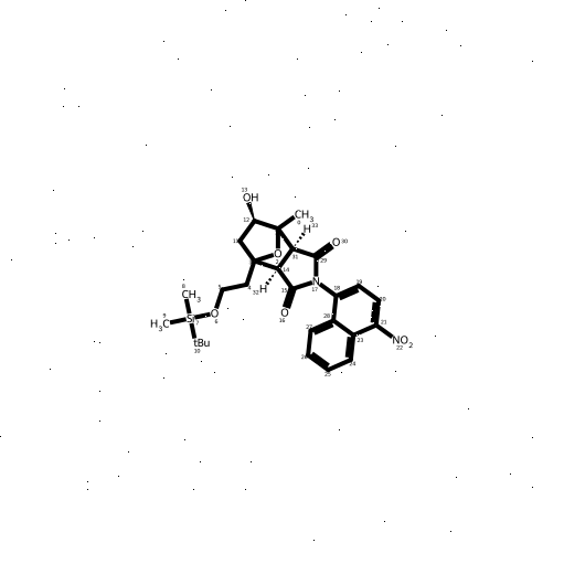 CC12OC(CCO[Si](C)(C)C(C)(C)C)(C[C@H]1O)[C@@H]1C(=O)N(c3ccc([N+](=O)[O-])c4ccccc34)C(=O)[C@@H]12